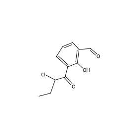 CCC(Cl)C(=O)c1cccc(C=O)c1O